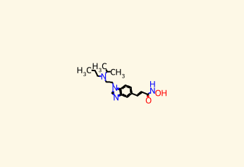 CCCN(CCn1cnc2cc(/C=C/C(=O)NO)ccc21)C(C)C